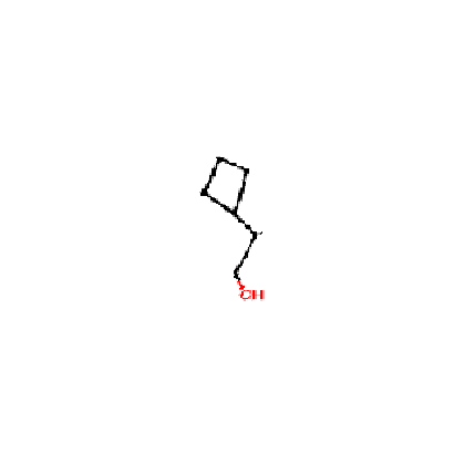 OC[CH]C1CCC1